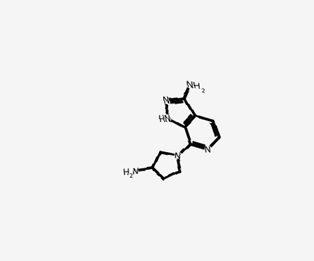 Nc1n[nH]c2c(N3CCC(N)C3)nccc12